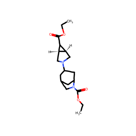 CCOC(=O)C1[C@H]2CN(C3CC4CC(C3)N(C(=O)OCC)C4)C[C@@H]12